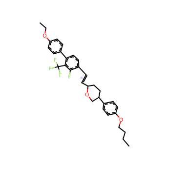 CCCCOc1ccc(C2CCC(/C=C/c3ccc(-c4ccc(OCC)cc4)c(C(F)(F)F)c3F)OC2)cc1